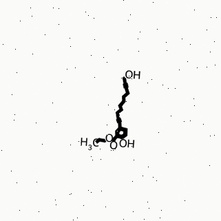 CCCOC(=O)c1cc(C#CCCCCCCC#CCO)ccc1O